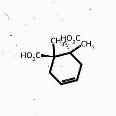 C[C@@]1(C(=O)O)CC=CC[C@@]1(C)C(=O)O